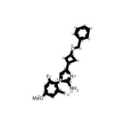 COc1cc(F)c(-n2cc(C3CC(OCc4ccccc4)C3)nc2N)c(F)c1